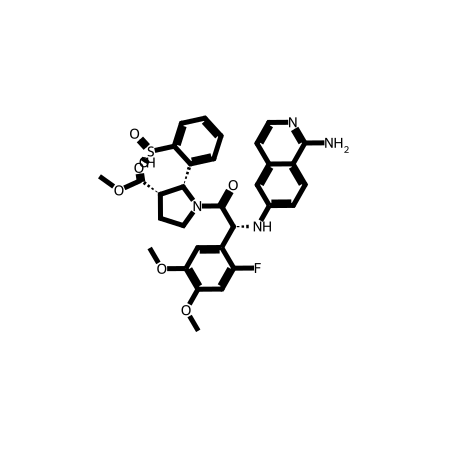 COC(=O)[C@H]1CCN(C(=O)[C@H](Nc2ccc3c(N)nccc3c2)c2cc(OC)c(OC)cc2F)[C@H]1c1ccccc1[SH](=O)=O